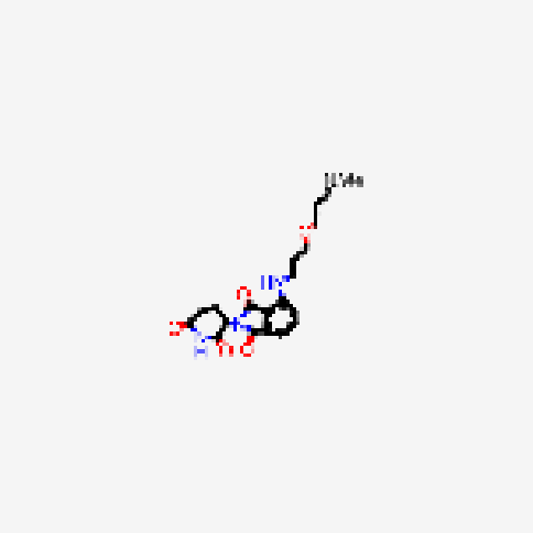 CNCCCOCCCNc1cccc2c1C(=O)N(C1CCC(=O)NC1=O)C2=O